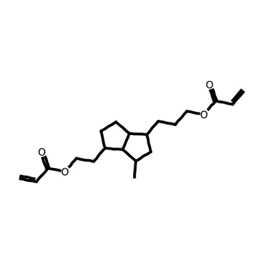 C=CC(=O)OCCCC1CC(C)C2C(CCOC(=O)C=C)CCC12